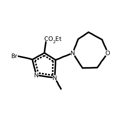 CCOC(=O)c1c(Br)nn(C)c1N1CCCOCC1